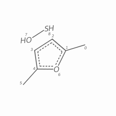 Cc1ccc(C)o1.OS